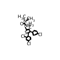 CCN(CC)C(=O)NCc1sc(-c2ccc(Cl)cc2Cl)c(-c2ccc(Cl)cc2)c1C